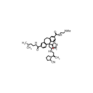 C=C(CN[C@H](C)CC1(c2nnn[nH]2)c2ccc(C(=O)NCCNC)cc2CCc2cc(C(=O)NCCN(C)C)ccc21)N1CCCC1C#N